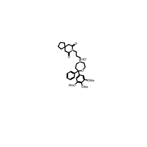 COc1cc(C2(c3ccccc3)CCN(CCCN3C(=O)CC4(CCCC4)CC3=O)CCO2)cc(OC)c1OC.Cl